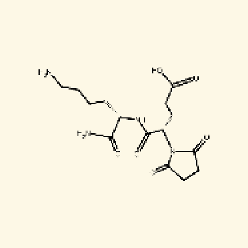 NCCCC[C@H](NC(=O)[C@H](CCC(=O)O)N1C(=O)CCC1=O)C(N)=O